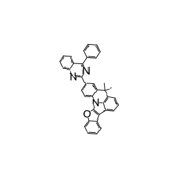 CC1(C)c2cc(-c3nc(-c4ccccc4)c4ccccc4n3)ccc2-n2c3oc4ccccc4c3c3cccc1c32